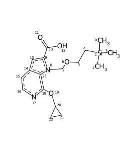 C[Si](C)(C)CCOCn1c(C(=O)O)cc2ccnc(OC3CC3)c21